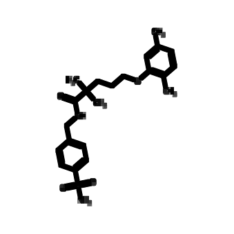 Cc1ccc(C)c(OCCCC(C)(C)C(=O)NCc2ccc(S(N)(=O)=O)cc2)c1